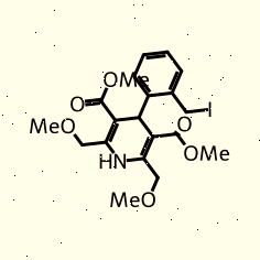 COCC1=C(C(=O)OC)C(c2ccccc2CI)C(C(=O)OC)=C(COC)N1